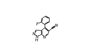 N#Cc1cnc2[nH]ncc2c1-c1ccccc1F